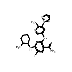 Cc1ncc(Nc2nc(NC3CCCCC3N)c(F)cc2C(N)=O)cc1-n1nccn1